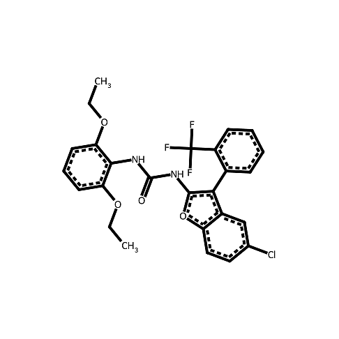 CCOc1cccc(OCC)c1NC(=O)Nc1oc2ccc(Cl)cc2c1-c1ccccc1C(F)(F)F